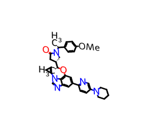 COc1ccc([C@@H](C)N2C[C@H]([C@@H](C)Oc3cc(-c4ccc(N5CCCCC5)cn4)cc4ncn(C5CC5)c34)CC2=O)cc1